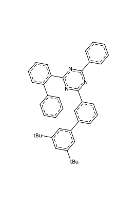 CC(C)(C)c1cc(-c2cccc(-c3nc(-c4ccccc4)nc(-c4ccccc4-c4ccccc4)n3)c2)cc(C(C)(C)C)c1